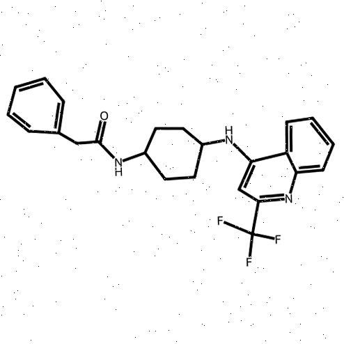 O=C(Cc1ccccc1)NC1CCC(Nc2cc(C(F)(F)F)nc3ccccc23)CC1